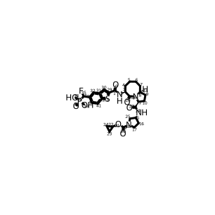 O=C(N[C@H]1CCCC[C@H]2CC[C@@H](C(=O)N[C@@H]3CCN(C(=O)OC4CC4)C3)N2C1=O)c1cc2cc(C(F)P(=O)(O)O)ccc2s1